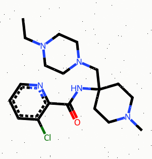 CCN1CCN(CC2(NC(=O)c3ncccc3Cl)CCN(C)CC2)CC1